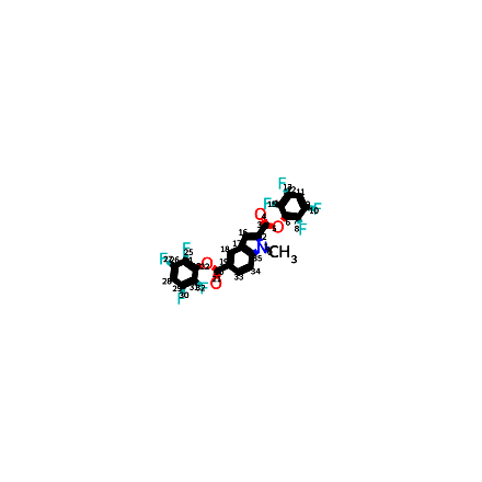 Cn1c(C(=O)Oc2c(F)c(F)cc(F)c2F)cc2cc(C(=O)Oc3c(F)c(F)cc(F)c3F)ccc21